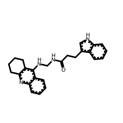 O=C(CCc1c[nH]c2ccccc12)NCNc1c2c(nc3ccccc13)CCCC2